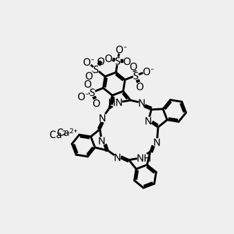 O=S(=O)([O-])c1c(S(=O)(=O)[O-])c(S(=O)(=O)[O-])c2c3nc4nc(nc5[nH]c(nc6nc(nc([nH]3)c2c1S(=O)(=O)[O-])-c1ccccc1-6)c1ccccc51)-c1ccccc1-4.[Ca+2].[Ca+2]